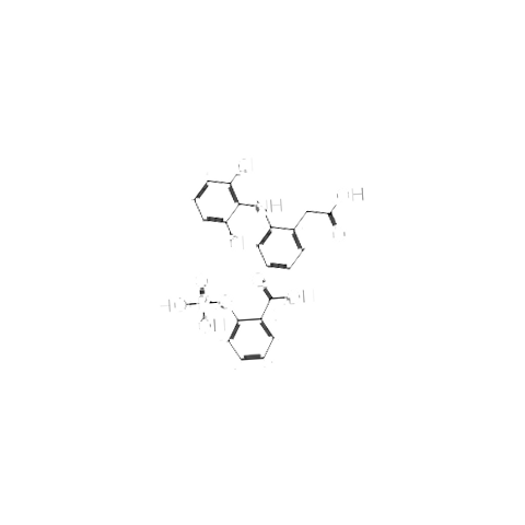 O=C(O)Cc1ccccc1Nc1c(Cl)cccc1Cl.O=C(O)c1ccccc1OP(=O)(O)O